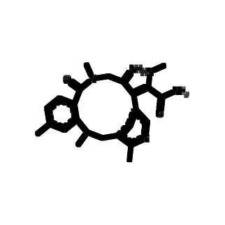 CN/C(C(N)=O)=C1\C(=N)CN(C)C(=O)c2ccc(C)cc2C(C)Cc2cc1cnc2C